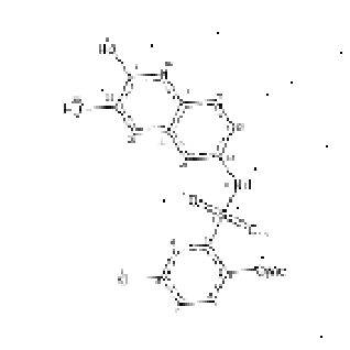 COc1ccc(Cl)cc1S(=O)(=O)Nc1ccc2nc(O)c(C)cc2c1